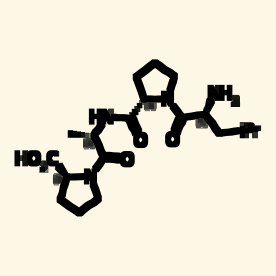 CC(C)C[C@H](N)C(=O)N1CCC[C@H]1C(=O)N[C@@H](C)C(=O)N1CCC[C@H]1C(=O)O